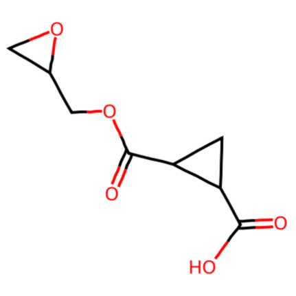 O=C(O)C1CC1C(=O)OCC1CO1